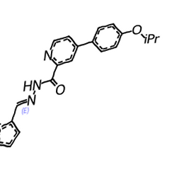 CC(C)Oc1ccc(-c2ccnc(C(=O)N/N=C/c3cccs3)c2)cc1